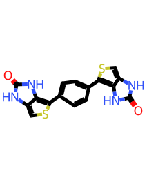 O=c1[nH]c2csc(-c3ccc(-c4scc5[nH]c(=O)[nH]c45)cc3)c2[nH]1